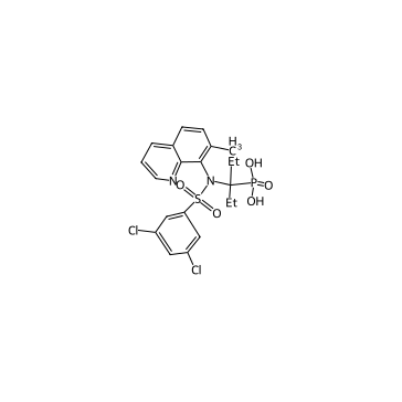 CCC(CC)(N(c1c(C)ccc2cccnc12)S(=O)(=O)c1cc(Cl)cc(Cl)c1)P(=O)(O)O